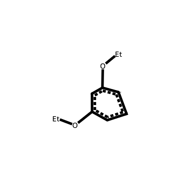 CCOc1[c]ccc(OCC)c1